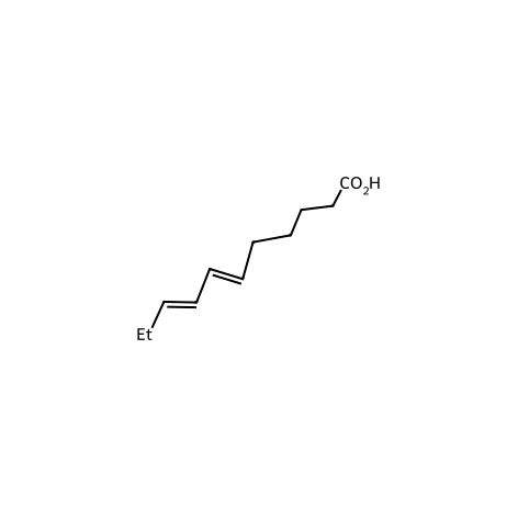 CCC=CC=CCCCCC(=O)O